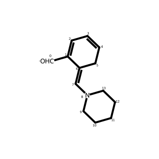 O=[C]C1=CC=CCC1=CN1CCCCC1